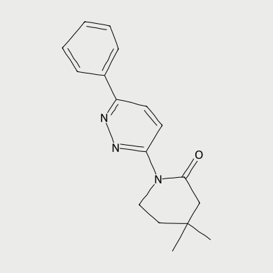 CC1(C)CCN(c2ccc(-c3ccccc3)nn2)C(=O)C1